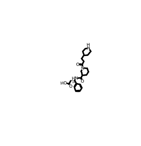 O=C(O)C[C@H](NC(=O)C1CCCN(C(=O)CCC2CCNCC2)C1)c1ccccc1